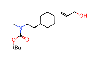 CN(CC[C@H]1CC[C@H](C=CCO)CC1)C(=O)OC(C)(C)C